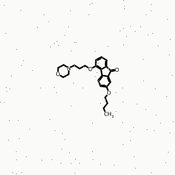 CCCCOc1ccc2c(c1)C(=O)c1cccc(OCCCN3CCOCC3)c1-2